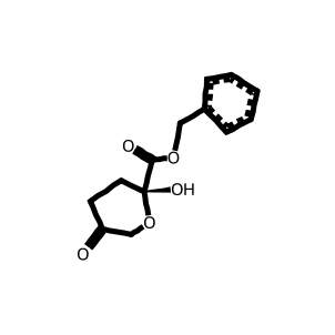 O=C1CC[C@](O)(C(=O)OCc2ccccc2)OC1